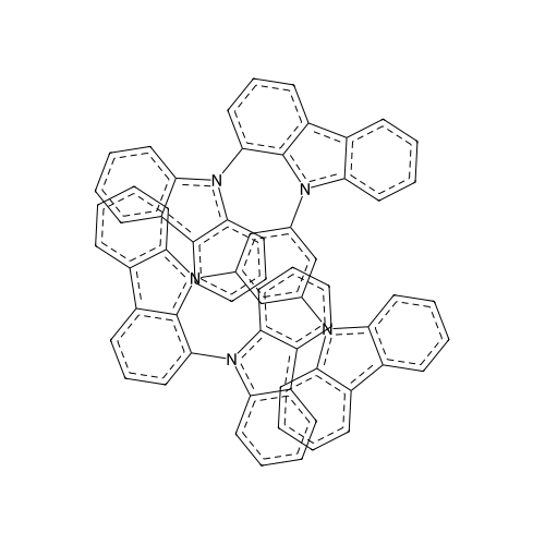 c1ccc2c(c1)c1ccccc1n2-c1cc(-n2c3ccccc3c3cccc(-n4c5ccccc5c5ccccc54)c32)cc(-n2c3ccccc3c3cccc(-n4c5ccccc5c5ccccc54)c32)c1